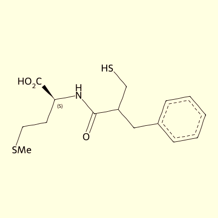 CSCC[C@H](NC(=O)C(CS)Cc1ccccc1)C(=O)O